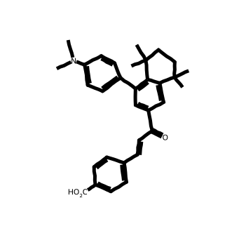 CN(C)c1ccc(-c2cc(C(=O)C=Cc3ccc(C(=O)O)cc3)cc3c2C(C)(C)CCC3(C)C)cc1